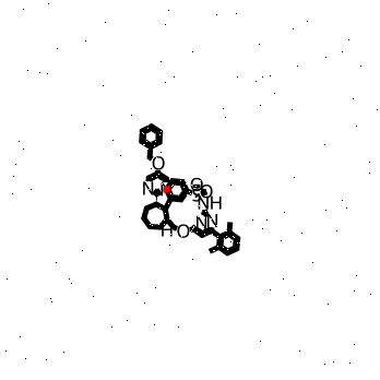 Cc1cccc(C)c1-c1cc2nc(n1)NS(=O)(=O)c1cccc(c1)C1[C@@H](CCCC[C@@H]1c1ncc(OCc3ccccc3)cn1)CO2